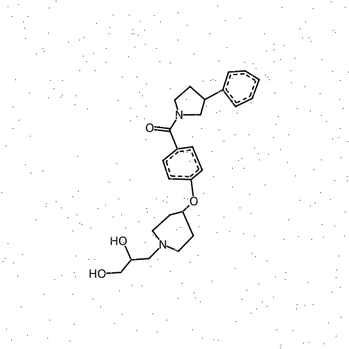 O=C(c1ccc(OC2CCN(CC(O)CO)CC2)cc1)N1CCC(c2ccccc2)C1